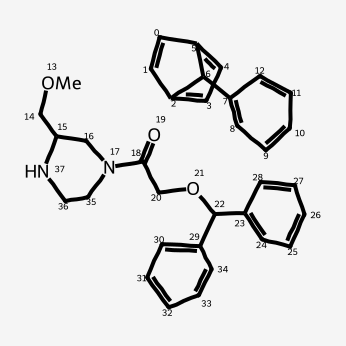 C1=CC2=CC=C1C2c1ccccc1.COCC1CN(C(=O)COC(c2ccccc2)c2ccccc2)CCN1